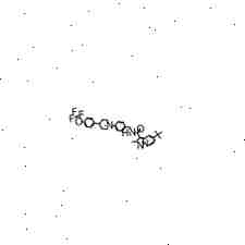 Cc1nn2ccc(C(C)(C)C)cc2c1C(=O)NCc1ccc(N2CCC(c3ccc(OC(F)(F)F)cc3)CC2)cc1